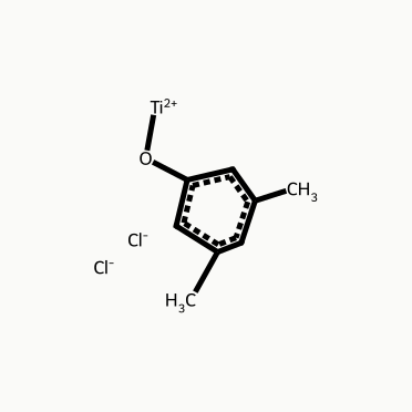 Cc1cc(C)cc([O][Ti+2])c1.[Cl-].[Cl-]